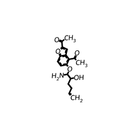 C=CCCC(O)C(N)Oc1ccc2oc(C(C)=O)cc2c1C(C)=O